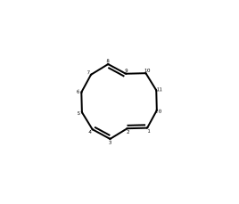 [CH]1/C=C/C=C\CCC/C=C/CC1